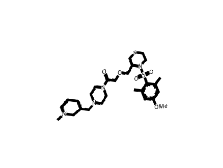 COc1cc(C)c(S(=O)(=O)N2CCSCC2COCC(=O)N2CCN(CC3CCCN(C)C3)CC2)c(C)c1